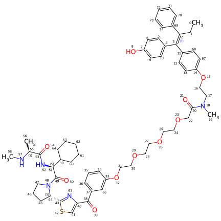 CC/C(=C(/c1ccc(O)cc1)c1ccc(OCCN(C)C(=O)COCCOCCOCCOc2cccc(C(=O)c3csc([C@@H]4CCCN4C(=O)[C@@H](NC(=O)[C@H](C)NC)C4CCCCC4)n3)c2)cc1)c1ccccc1